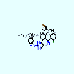 COc1cc(Nc2ncc3c(n2)-c2ccc(C4CSC=C4C)cc2C(c2c(F)cccc2OC)=NC3)ccc1C(=O)O